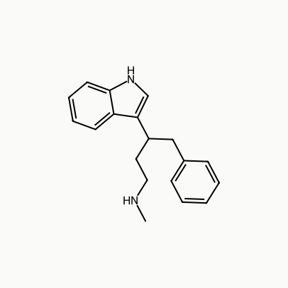 CNCCC(Cc1ccccc1)c1c[nH]c2ccccc12